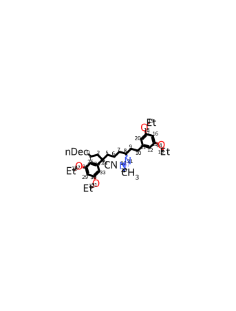 CCCCCCCCCCCCC(C#N)(CCCC(CCc1cc(OCC)cc(OCC)c1)/N=N/C)c1cc(OCC)cc(OCC)c1